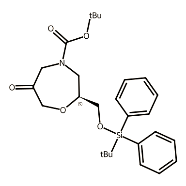 CC(C)(C)OC(=O)N1CC(=O)CO[C@H](CO[Si](c2ccccc2)(c2ccccc2)C(C)(C)C)C1